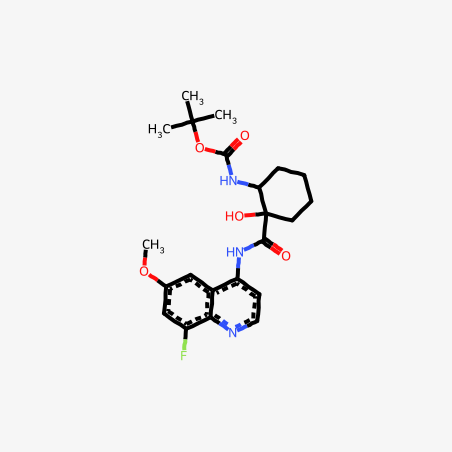 COc1cc(F)c2nccc(NC(=O)C3(O)CCCCC3NC(=O)OC(C)(C)C)c2c1